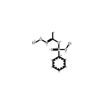 CCON=C(C)OP(=S)(OCC)c1ccccc1